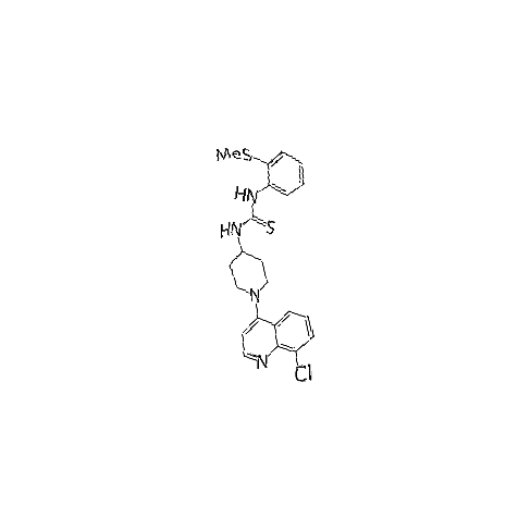 CSc1ccccc1NC(=S)NC1CCN(c2ccnc3c(Cl)cccc23)CC1